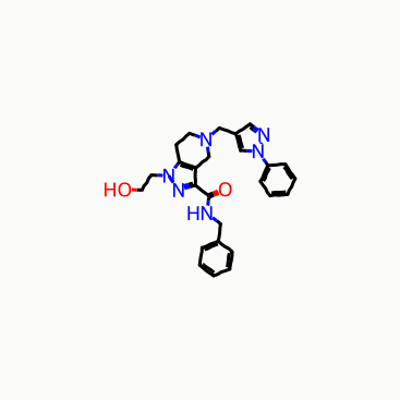 O=C(NCc1ccccc1)c1nn(CCO)c2c1CN(Cc1cnn(-c3ccccc3)c1)CC2